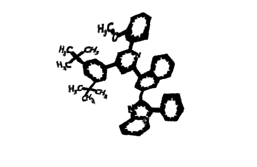 COc1ccccc1-c1cc(-c2cc(C(C)(C)C)cc(C(C)(C)C)c2)cc(-c2cc(-c3nc4ccccn4c3-c3ccccc3)cc3ccccc23)n1